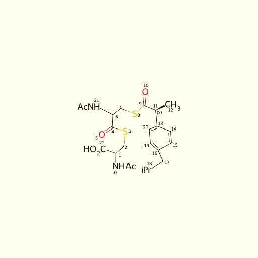 CC(=O)NC(CSC(=O)C(CSC(=O)[C@@H](C)c1ccc(CC(C)C)cc1)NC(C)=O)C(=O)O